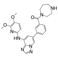 COc1ccc(Nc2cc(-c3cccc(C(=O)N4CCCNCC4)c3)cn3ncnc23)nc1OC